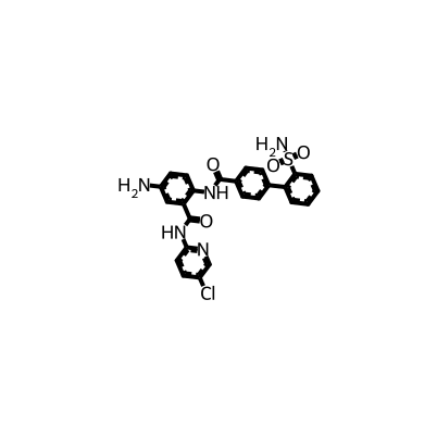 Nc1ccc(NC(=O)c2ccc(-c3ccccc3S(N)(=O)=O)cc2)c(C(=O)Nc2ccc(Cl)cn2)c1